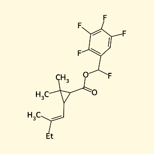 CCC(C)=CC1C(C(=O)OC(F)c2cc(F)c(F)c(F)c2F)C1(C)C